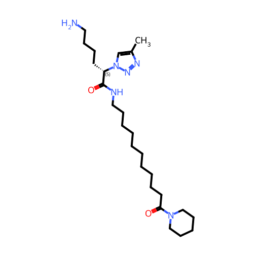 Cc1cn([C@@H](CCCCN)C(=O)NCCCCCCCCCCC(=O)N2CCCCC2)nn1